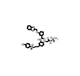 CS(=O)(=O)NC(=O)COc1ccc(CCCS(=O)(=O)c2ccc(Cl)cc2)cc1NC(=O)c1cccc(OCc2nc3ccccc3s2)c1